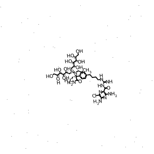 CCCN(N(C[C@H](O)[C@@H](O)[C@H](O)[C@H](O)CO)C[C@H](O)[C@@H](O)[C@H](O)[C@H](O)CO)[C@](CC)(C(N)=O)c1ccc(CCCCNC(=N)NC(=O)c2nc(Cl)c(N)nc2N)cc1